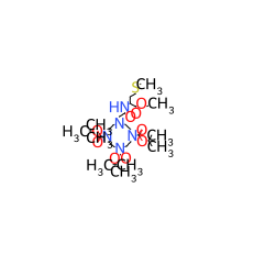 CCOC(=O)C(CCSC)NC(=O)CN1CCN(C(=O)OC(C)C)CCN(C(=O)OC(C)(C)C)CCN(C(=O)OC(C)(C)C)CC1